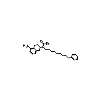 CCC(=O)N(CCCCCCCCCc1ccccc1)C1CCc2c(N)cccc2C1